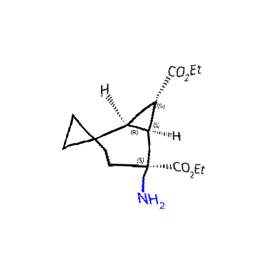 CCOC(=O)[C@H]1[C@H]2[C@@H]1[C@](N)(C(=O)OCC)CC21CC1